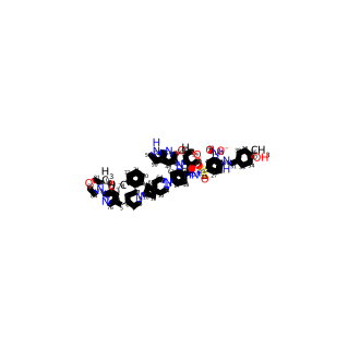 COc1cc(C[C@H]2CCN(C3CC4(CCN(c5ccc(C(=O)NS(=O)(=O)c6ccc(NCC7CCC(C)(O)CC7)c([N+](=O)[O-])c6)c(N6c7cc8cc[nH]c8nc7O[C@H]7COCC[C@@H]76)c5)CC4)C3)[C@@H](c3ccccc3C)C2)cnc1N1CCOCC1